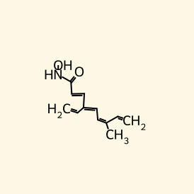 C=C\C(C)=C/C=C(C=C)/C=C/C(=O)NO